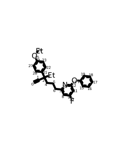 C#CC(CC)(CCCc1cc(F)cc(Oc2ccccc2)n1)c1ccc(OCC)cc1